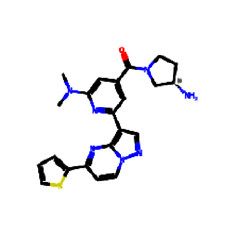 CN(C)c1cc(C(=O)N2CC[C@H](N)C2)cc(-c2cnn3ccc(-c4cccs4)nc23)n1